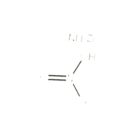 N.O=[N+]([O-])O.[Zn]